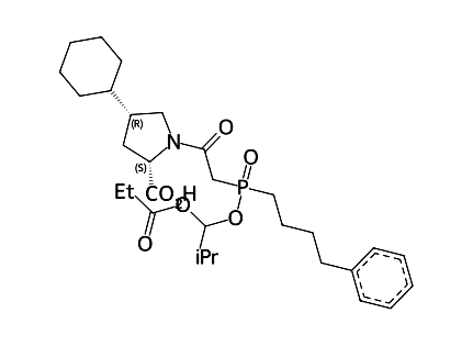 CCC(=O)OC(OP(=O)(CCCCc1ccccc1)CC(=O)N1C[C@@H](C2CCCCC2)C[C@H]1C(=O)O)C(C)C